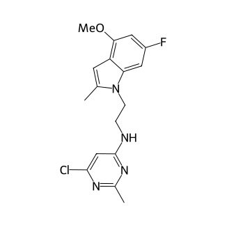 COc1cc(F)cc2c1cc(C)n2CCNc1cc(Cl)nc(C)n1